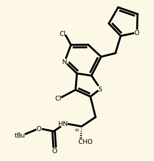 CC(C)(C)OC(=O)N[C@@H](C=O)Cc1sc2c([CH]c3ccco3)cc(Cl)nc2c1Cl